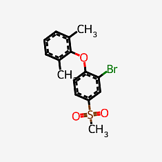 Cc1cccc(C)c1Oc1ccc(S(C)(=O)=O)cc1Br